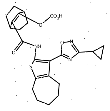 O=C(O)OC1=C(C(=O)Nc2sc3c(c2-c2nc(C4CC4)no2)CCCCC3)C2CCC1CC2